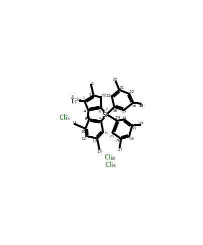 CC1=[C]([Ti+3])C(C)=C([Si](c2cc(C)cc(C)c2)(c2cc(C)cc(C)c2)c2cc(C)cc(C)c2)C1.[Cl-].[Cl-].[Cl-]